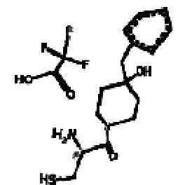 N[C@@H](CS)C(=O)N1CCC(O)(Cc2ccccc2)CC1.O=C(O)C(F)(F)F